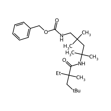 CCC(C)(CC(C)(C)C)C(=O)NC(C)(C)CC(C)(C)CNC(=O)OCc1ccccc1